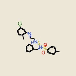 Cc1ccc(S(=O)(=O)N(Cc2ccccc2)SNCC=Nc2cc(Cl)ccc2C)cc1